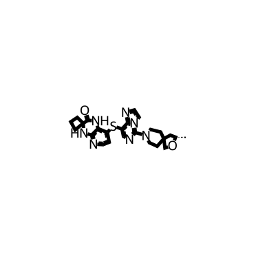 C[C@H]1CC2(CCN(c3ncc(Sc4ccnc5c4NC(=O)C4(CCC4)N5)c4nccn34)CC2)CO1